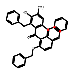 O=C(O)c1cc(Cc2ccccc2)c(C(=O)c2c(OCc3ccccc3)ccc3ccccc23)c(Cc2ccccc2)c1O